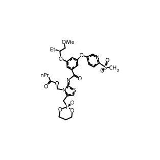 CCCC(=O)OCn1c(CP2(=O)OCCCO2)cs/c1=N\C(=O)c1cc(Oc2ccc(S(C)(=O)=O)nc2)cc(O[C@@H](CC)COC)c1